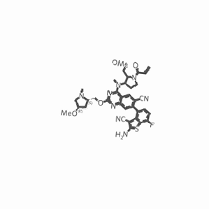 C=CC(=O)N1CCC(N(C)c2nc(OC[C@@H]3C[C@@H](OC)CN3C)nc3cc(-c4ccc(F)c5sc(N)c(C#N)c45)c(C#N)cc23)C1COC